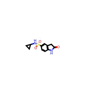 O=C1Cc2cc(S(=O)(=O)NC3CC3)ccc2N1